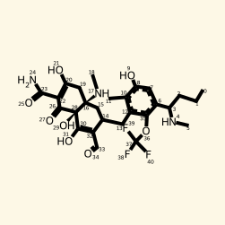 CCCC(NC)c1cc(O)c(C)c(CC2C[C@@]3(NC)CC(O)=C(C(N)=O)C(=O)[C@@]3(O)C(O)=C2C=O)c1OC(F)(F)F